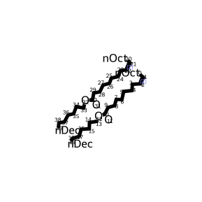 CCCCCCCC/C=C\CCCCCCCC(=O)OCCCCCCCCCCCCCCCC.CCCCCCCC/C=C\CCCCCCCC(=O)OCCCCCCCCCCCCCCCC